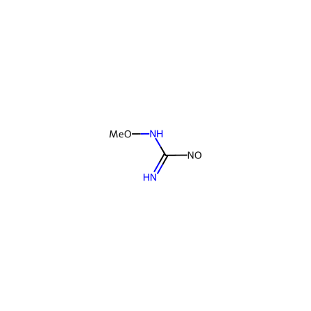 CONC(=N)N=O